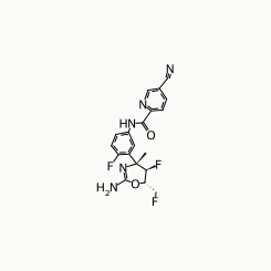 C[C@]1(c2cc(NC(=O)c3ccc(C#N)cn3)ccc2F)N=C(N)O[C@@H](CF)[C@@H]1F